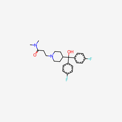 CN(C)C(=O)CCN1CCC(C(O)(c2ccc(F)cc2)c2ccc(F)cc2)CC1